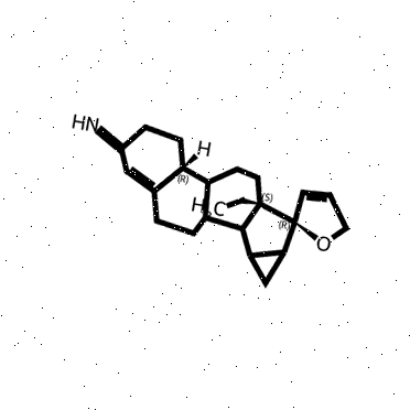 CC[C@]12CCC3C(CCC4=CC(=N)CC[C@@H]43)C1C1CC1[C@@]21C=CCO1